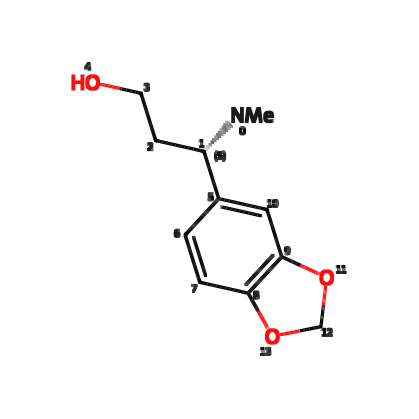 CN[C@@H](CCO)c1ccc2c(c1)OCO2